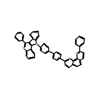 c1ccc(-c2ccc3ccc4ccc(-c5ccc(-c6ccc(-n7c8ccccc8c8c(-c9ccccc9)nc9ccccc9c87)cc6)cc5)nc4c3n2)cc1